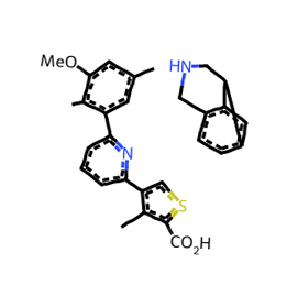 COc1cc(C)cc(-c2cccc(-c3csc(C(=O)O)c3C)n2)c1C.c1cc2c3cc1C3CNC2